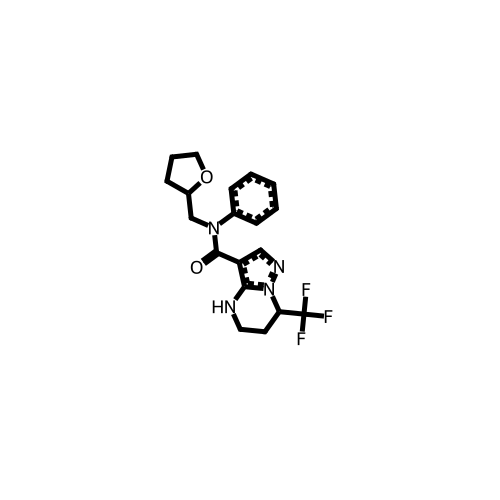 O=C(c1cnn2c1NCCC2C(F)(F)F)N(CC1CCCO1)c1ccccc1